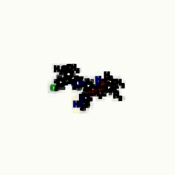 Cc1cc(C)c(S(=O)(=O)NC(=O)c2ccc(N3CCN(CC4=C(c5ccc(Cl)cc5)CC(C)(C)CC4)CC3)cc2Oc2cnc3[nH]ccc3c2)c(C)c1C